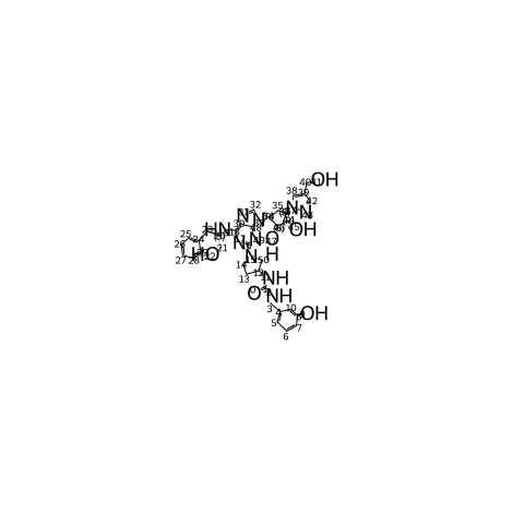 O=C(NCc1cccc(O)c1)NC1CCN(c2nc(N[C@H](CO)Cc3ccccc3)c3ncn([C@@H]4C[C@H](n5cc(CO)cn5)[C@@H](O)[C@H]4O)c3n2)C1